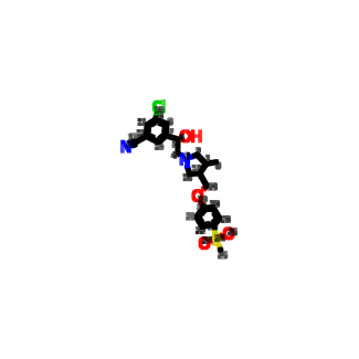 CC1CN(CC(O)c2cc(Cl)cc(C#N)c2)CC1COc1ccc(S(C)(=O)=O)cc1